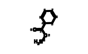 O=C(O[SiH3])C1C=CC=CC1